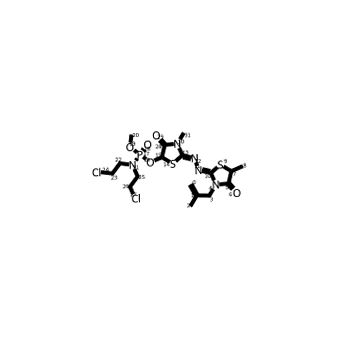 C=C(C)CN1C(=O)C(C)SC1=NN=C1SC(OP(=O)(OC)N(CCCl)CCCl)C(=O)N1C